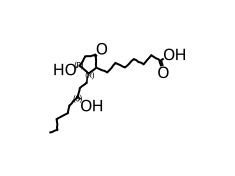 CCCCC[C@H](O)CC[C@@H]1C(CCCCCCC(=O)O)C(=O)C[C@H]1O